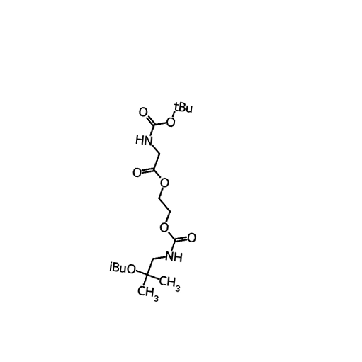 CC(C)COC(C)(C)CNC(=O)OCCOC(=O)CNC(=O)OC(C)(C)C